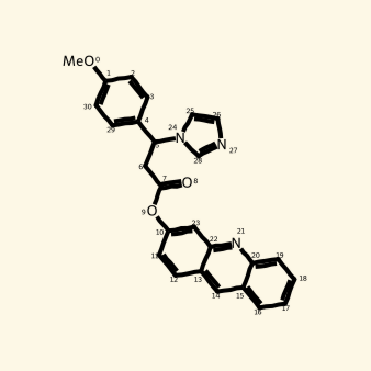 COc1ccc(C(CC(=O)Oc2ccc3cc4ccccc4nc3c2)n2ccnc2)cc1